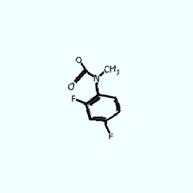 CN(C([O])=O)c1ccc(F)cc1F